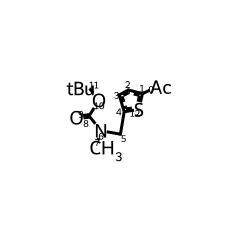 CC(=O)c1ccc(CN(C)C(=O)OC(C)(C)C)s1